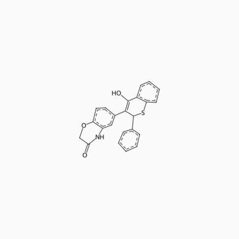 O=C1COc2ccc(C3=C(O)c4ccccc4SC3c3ccccc3)cc2N1